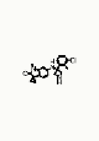 Cc1c(Cl)cccc1C1(Nc2ccc3c(c2)N(C)C(=O)C32CC2)CNC1